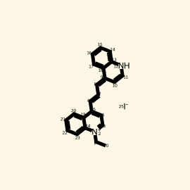 CC[n+]1ccc(C=CC=C2C=CNc3ccccc32)c2ccccc21.[I-]